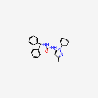 Cc1cc(NC(=O)NC2c3ccccc3-c3ccccc32)n(-c2ccccc2)n1